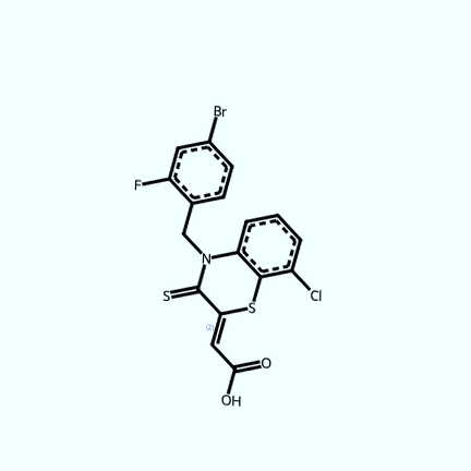 O=C(O)/C=C1\Sc2c(Cl)cccc2N(Cc2ccc(Br)cc2F)C1=S